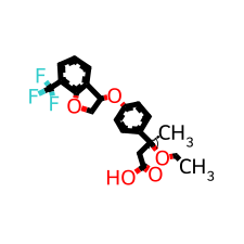 CCO[C@@](C)(CC(=O)O)c1ccc(OC2COc3c2cccc3C(F)(F)F)cc1